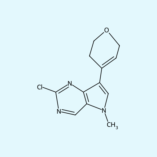 Cn1cc(C2=CCOCC2)c2nc(Cl)ncc21